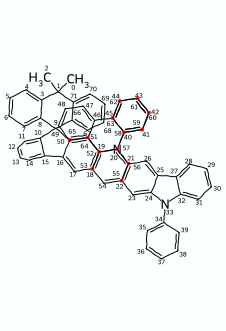 CC1(C)c2ccccc2C2(c3ccccc3-c3ccc(N(c4ccc5c(c4)c4ccccc4n5-c4ccccc4)c4ccccc4-c4ccccc4-c4ccccc4-c4ccccc4)cc32)c2ccccc21